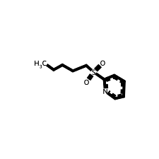 CCCCCS(=O)(=O)c1ccccn1